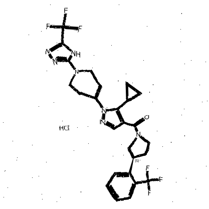 Cl.O=C(c1cnn(C2CCN(c3nnc(C(F)(F)F)[nH]3)CC2)c1C1CC1)N1CC[C@@H](c2ccccc2C(F)(F)F)C1